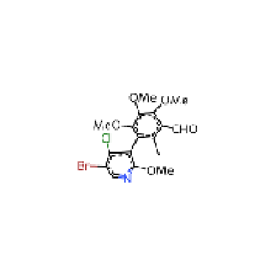 COc1ncc(Br)c(Cl)c1-c1c(C)c(C=O)c(OC)c(OC)c1OC